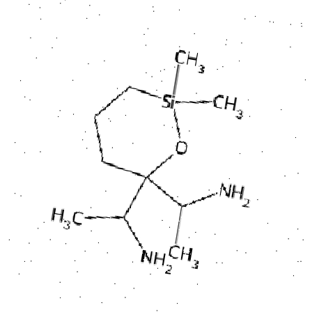 CC(N)C1(C(C)N)CCC[Si](C)(C)O1